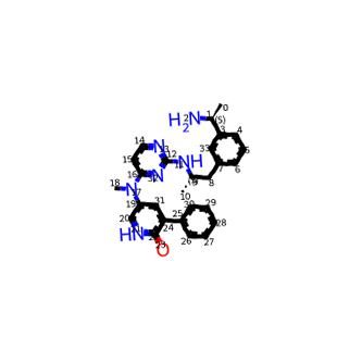 C[C@H](N)c1cccc(C[C@H](C)Nc2nccc(N(C)c3c[nH]c(=O)c(-c4ccccc4)c3)n2)c1